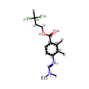 CCN(C)/C=N/c1ccc(C(=O)OCCC(C)(F)F)c(C)c1C